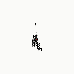 CCCCCCCCCCCCCCCCOCC(CNC(=O)Nc1ccc(Cl)cc1)OP(=O)([O-])OCC[N+](C)(C)C